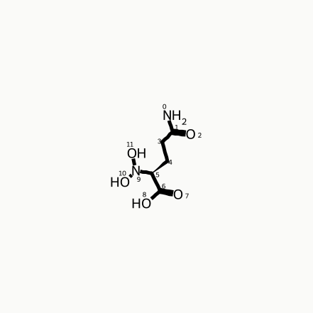 NC(=O)CC[C@@H](C(=O)O)N(O)O